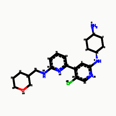 N[C@H]1CC[C@H](Nc2cc(-c3cccc(NCC4CCCOC4)n3)c(Cl)cn2)CC1